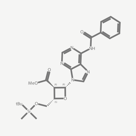 COC(=O)[C@H]1[C@H](n2cnc3c(NC(=O)c4ccccc4)ncnc32)O[C@@H]1CO[Si](C)(C)C(C)(C)C